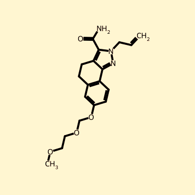 C=CCn1nc2c(c1C(N)=O)CCc1cc(OCOCCOC)ccc1-2